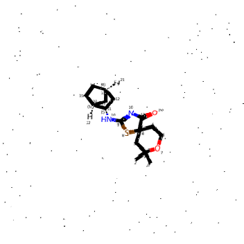 CC1(C)CC2(CCO1)SC(N[C@H]1C[C@@H]3CC[C@H]1C3)=NC2=O